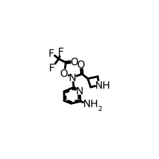 Nc1cccc(N(OC(=O)C(F)(F)F)C(=O)C2CNC2)n1